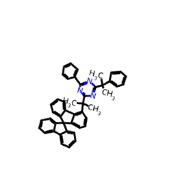 CC(C)(c1ccccc1)c1nc(-c2ccccc2)nc(C(C)(C)c2cccc3c2-c2ccccc2C32c3ccccc3-c3ccccc32)n1